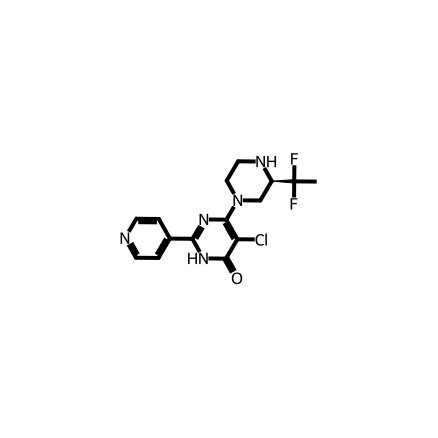 CC(F)(F)[C@H]1CN(c2nc(-c3ccncc3)[nH]c(=O)c2Cl)CCN1